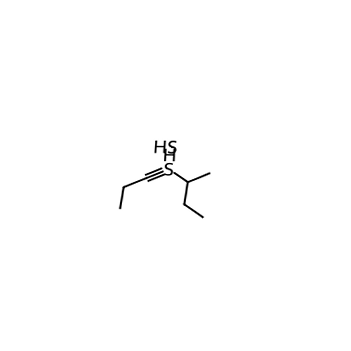 CCC#[SH](S)C(C)CC